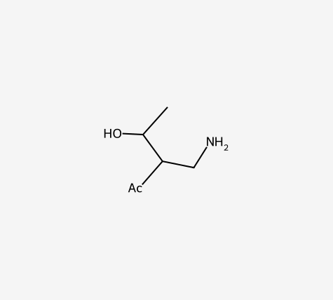 CC(=O)C(CN)C(C)O